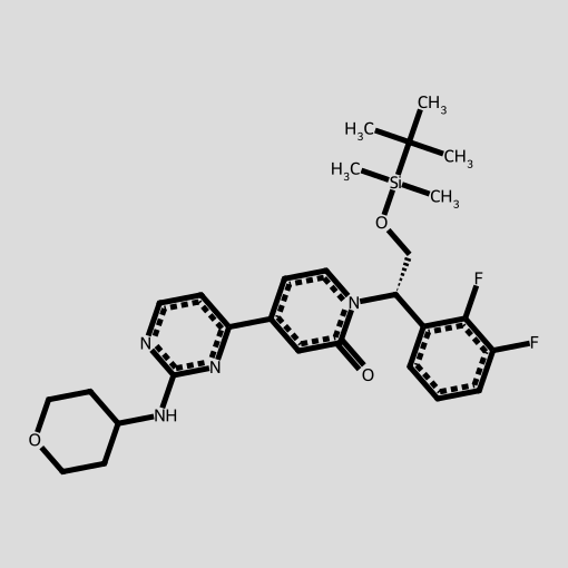 CC(C)(C)[Si](C)(C)OC[C@H](c1cccc(F)c1F)n1ccc(-c2ccnc(NC3CCOCC3)n2)cc1=O